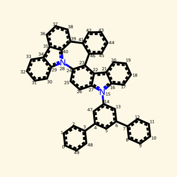 c1ccc(-c2cc(-c3ccccc3)cc(-n3c4ccccc4c4c5c(ccc43)-n3c4ccccc4c4cccc(c43)-c3ccccc3-5)c2)cc1